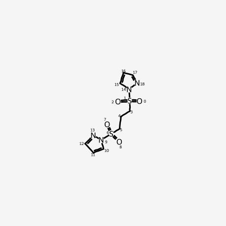 O=S(=O)(CCCS(=O)(=O)n1cccn1)n1cccn1